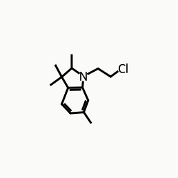 Cc1ccc2c(c1)N(CCCl)C(C)C2(C)C